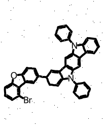 Brc1cccc2oc3ccc(C4C=c5c(n(-c6ccccc6)c6cc7c8ccccc8n(-c8ccccc8)c7cc56)=CC4)cc3c12